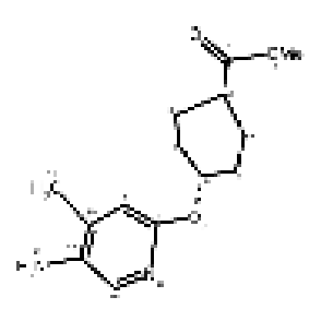 COC(=O)[C@H]1CC[C@H](Oc2cc(C)c(N)cn2)CC1